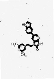 C[C@@H]1CN(CCn2c(=O)[nH]c3ncc(-c4cnc5[nH]ccc5c4)cc32)C[C@H](C)O1